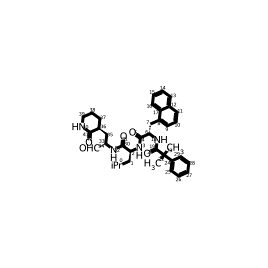 CC(C)C[C@H](NC(=O)[C@H](Cc1cccc2ccccc12)NC(=O)C(C)(C)c1ccccc1)C(=O)N[C@H](C=O)C[C@@H]1CCCNC1=O